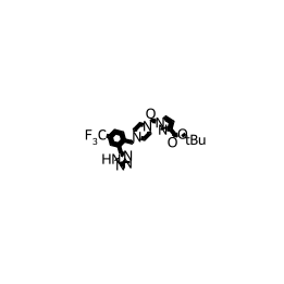 CC(C)(C)OC(=O)c1ccn(C(=O)N2CCN(Cc3ccc(C(F)(F)F)cc3-c3nnn[nH]3)CC2)n1